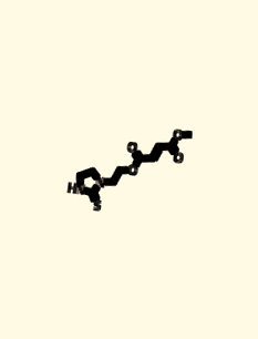 COC(=O)/C=C/C(=O)OCCN1CCNC1=S